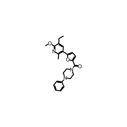 CCc1cc(-c2ccc(C(=O)N3CCN(c4ccccc4)CC3)o2)c(C)nc1OC